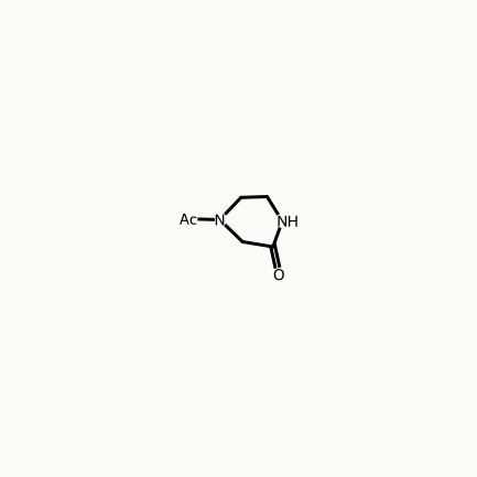 [CH2]C(=O)N1CCNC(=O)C1